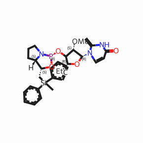 C=C1NC(=O)C=CN1[C@@H]1O[C@H](CC)C(O[P@@]2O[C@H](C[Si](C)(c3ccccc3)c3ccccc3)[C@@H]3CCCN32)[C@@H]1OC